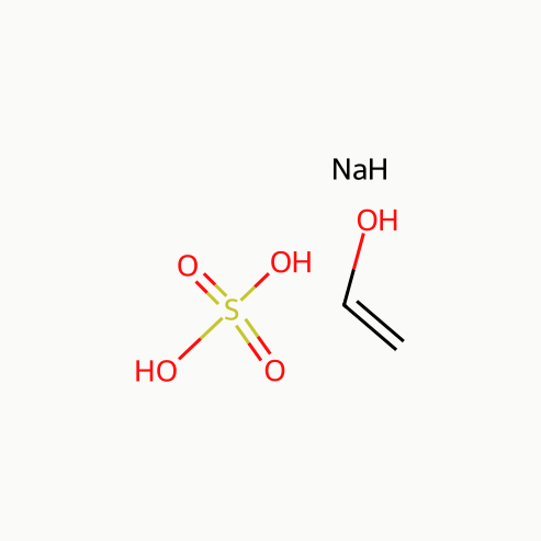 C=CO.O=S(=O)(O)O.[NaH]